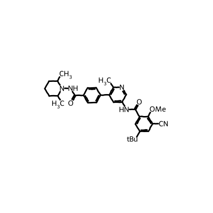 COc1c(C#N)cc(C(C)(C)C)cc1C(=O)Nc1cnc(C)c(-c2ccc(C(=O)NN3C(C)CCCC3C)cc2)c1